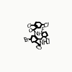 O=C(Nc1cc(Br)cc2c1C(c1cc(F)ccc1Cl)NC2=O)c1cc(Cl)ccc1Cl